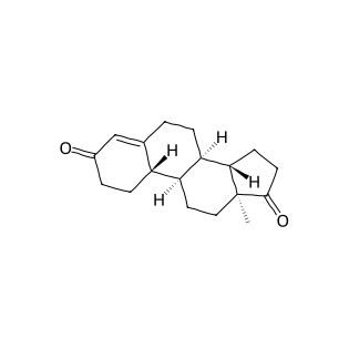 C[C@]12CC[C@@H]3[C@@H](CCC4=CC(=O)CC[C@H]43)[C@@H]1CCC2=O